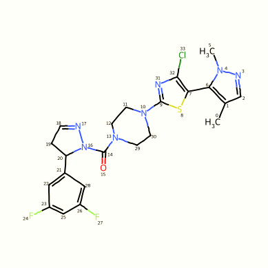 Cc1cnn(C)c1-c1sc(N2CCN(C(=O)N3N=CCC3c3cc(F)cc(F)c3)CC2)nc1Cl